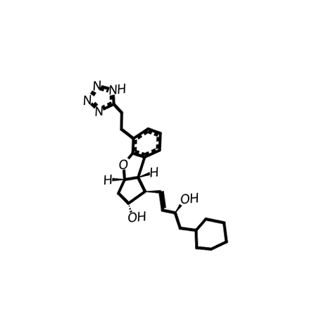 O[C@H](C=C[C@@H]1[C@H]2c3cccc(CCc4nnn[nH]4)c3O[C@H]2C[C@H]1O)CC1CCCCC1